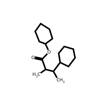 CC(C(=O)OC1CCCCC1)C(C)C1CCCCC1